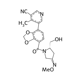 CO/N=C1/C[C@@H](CO)N(C(=O)c2ccc(-c3cncc(C#N)c3C)c3c2OCO3)C1